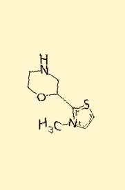 C[n+]1ccsc1C1CNCCO1